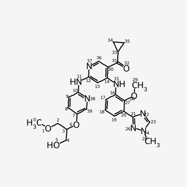 COCC(CO)Oc1ccc(Nc2cc(Nc3cccc(-c4ncn(C)n4)c3OC)c(C(=O)C3CC3)cn2)nc1